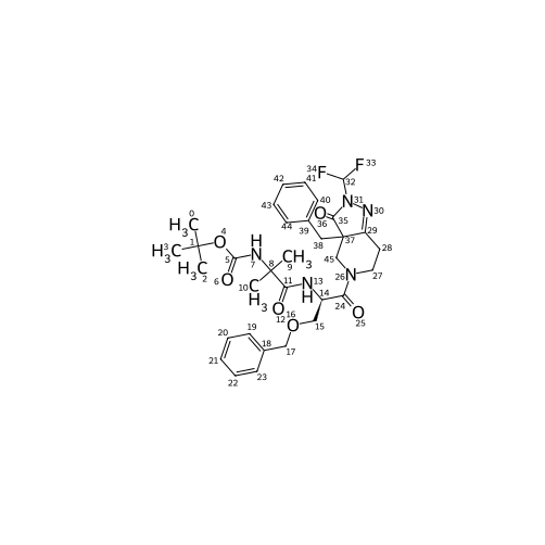 CC(C)(C)OC(=O)NC(C)(C)C(=O)N[C@H](COCc1ccccc1)C(=O)N1CCC2=NN(C(F)F)C(=O)C2(Cc2ccccc2)C1